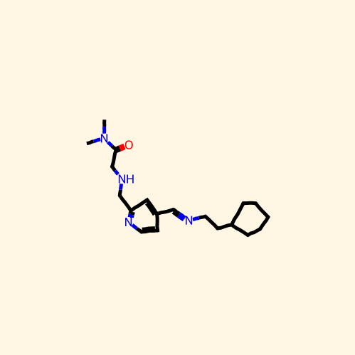 CN(C)C(=O)CNCc1cc(/C=N/CCC2CCCCC2)ccn1